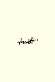 CC(C)NCCOCCCO[C@H](C)C(=O)C(C)CS